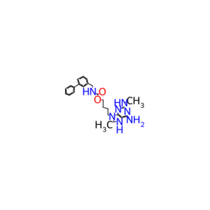 CNc1nc(N)c2c(n1)N(CCCCOC(=O)NCc1cccc(-c3ccccc3)c1)C(C)N2